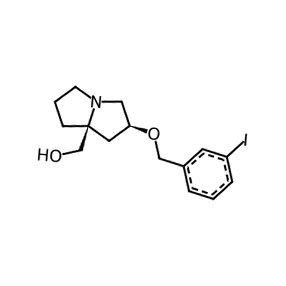 OC[C@@]12CCCN1C[C@@H](OCc1cccc(I)c1)C2